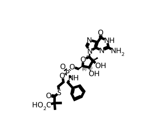 CC(C)(C(=O)O)C(=O)SCCOP(=O)(NCc1ccccc1)OC[C@H]1O[C@@H](n2cnc3c(=O)[nH]c(N)nc32)[C@](C)(O)[C@@H]1O